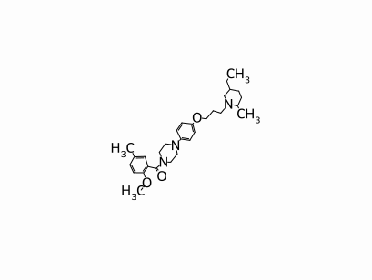 CCC1CCC(C)N(CCCOc2ccc(N3CCN(C(=O)c4cc(C)ccc4OC)CC3)cc2)C1